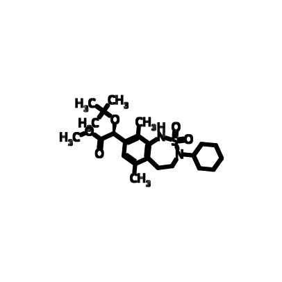 COC(=O)[C@@H](OC(C)(C)C)c1cc(C)c2c(c1C)NS(=O)(=O)N(C1CCCCC1)CC2